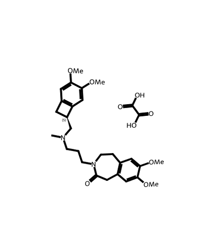 COc1cc2c(cc1OC)CC(=O)N(CCCN(C)C[C@H]1Cc3cc(OC)c(OC)cc31)CC2.O=C(O)C(=O)O